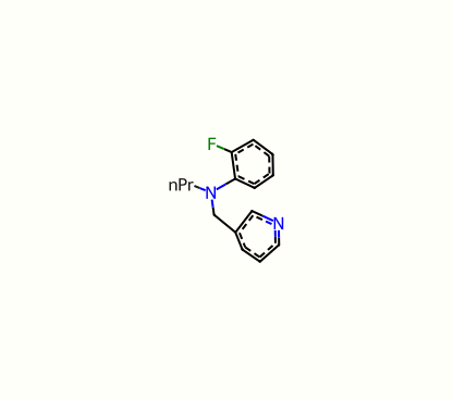 CCCN(Cc1cccnc1)c1ccccc1F